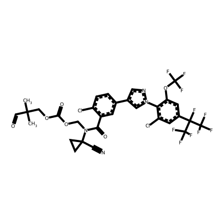 CC(C)(C=O)COC(=O)OCN(C(=O)c1cc(-c2cnn(-c3c(Cl)cc(C(F)(C(F)(F)F)C(F)(F)F)cc3OC(F)(F)F)c2)ccc1Cl)C1(C#N)CC1